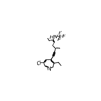 CCC1=C(C#CC(C)C/C=C(\CC)NC(F)(F)F)C=C(Cl)C=NC1